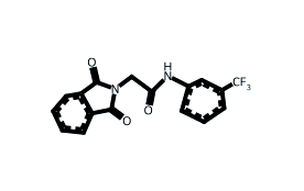 O=C(CN1C(=O)c2ccccc2C1=O)Nc1cccc(C(F)(F)F)c1